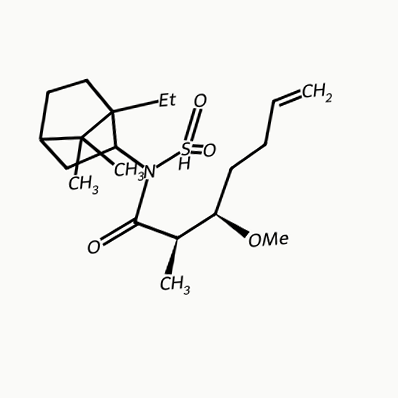 C=CCC[C@@H](OC)[C@@H](C)C(=O)N(C1CC2CCC1(CC)C2(C)C)[SH](=O)=O